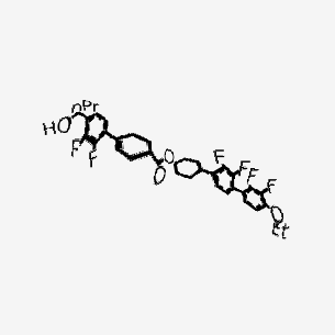 CCCC(O)c1ccc(C2=CCC(C(=O)OC3CCC(c4ccc(-c5ccc(OCC)c(F)c5F)c(F)c4F)CC3)CC2)c(F)c1F